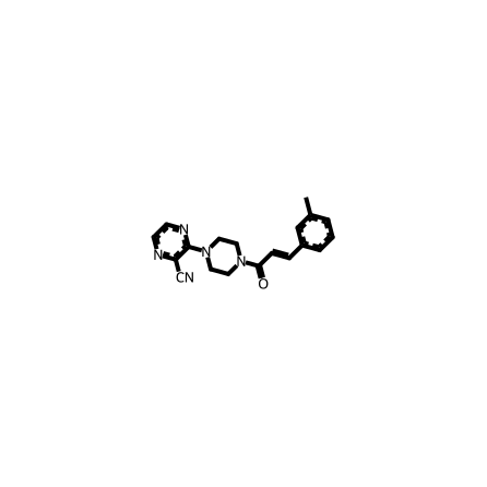 Cc1cccc(C=CC(=O)N2CCN(c3nccnc3C#N)CC2)c1